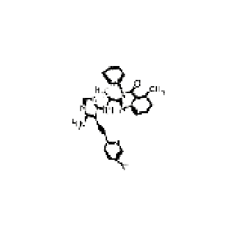 Cc1cccc2nc(C(C)Nc3ncnc(N)c3C#Cc3ccc(F)cn3)n(-c3ccccc3)c(=O)c12